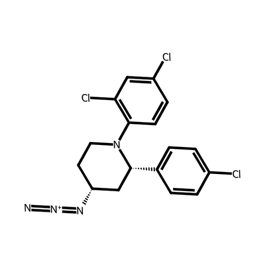 [N-]=[N+]=N[C@@H]1CCN(c2ccc(Cl)cc2Cl)[C@H](c2ccc(Cl)cc2)C1